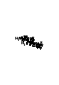 Cc1c(C(=O)Nc2ccc(F)c(C(F)F)c2)c2n(c1C(=O)C(=O)NC1(/C(N)=C/N)CC1)CCC2